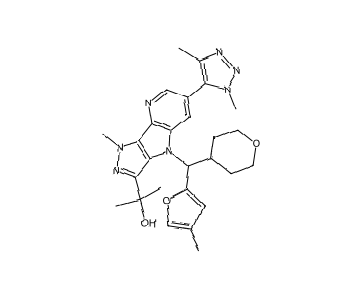 Cc1coc(C(C2CCOCC2)n2c3cc(-c4c(C)nnn4C)cnc3c3c2c(C(C)(C)O)nn3C)c1